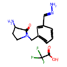 NN=Cc1cccc(CN2CCC(N)C2=O)c1.O=C(O)C(F)(F)F